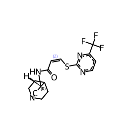 O=C(/C=C\Sc1nccc(C(F)(F)F)n1)N[C@H]1CN2CCC1CC2